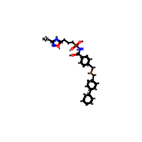 Cc1noc(CCCS(=O)(=O)NC(=O)c2ccc(CSCc3ccc(-c4ccccc4)cc3)cc2)n1